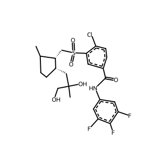 CC1CC[C@@H](CC(C)(O)CO)[C@H]1CS(=O)(=O)c1cc(C(=O)Nc2cc(F)c(F)c(F)c2)ccc1Cl